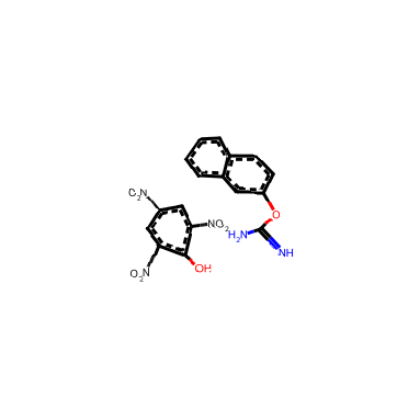 N=C(N)Oc1ccc2ccccc2c1.O=[N+]([O-])c1cc([N+](=O)[O-])c(O)c([N+](=O)[O-])c1